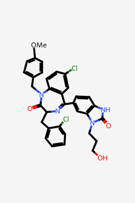 COc1ccc(CN2C(=O)C(Cc3ccccc3Cl)N=C(c3ccc4[nH]c(=O)n(CCCO)c4c3)c3cc(Cl)ccc32)cc1